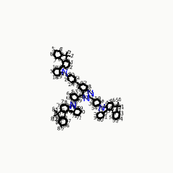 CC1(C)c2ccccc2-c2c1ccc1c2c2ccccc2n1-c1ccc(-c2ccc3nc(-c4ccc(-n5c6ccccc6c6c7c(ccc65)C(C)(C)c5ccccc5-7)cc4)nc(-c4cccc(-n5c6ccccc6c6c7c(ccc65)C(C)(C)c5ccccc5-7)c4)c3c2)cc1